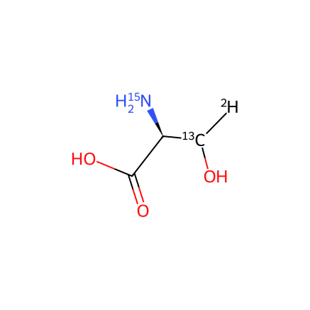 [2H][13CH](O)[C@H]([15NH2])C(=O)O